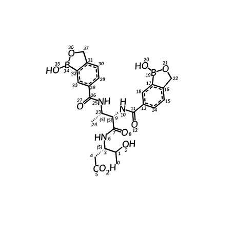 CC(O)[C@H](CC(=O)O)NC(=O)[C@@H](NC(=O)c1ccc2c(c1)B(O)OC2)[C@H](C)NC(=O)c1ccc2c(c1)B(O)OC2